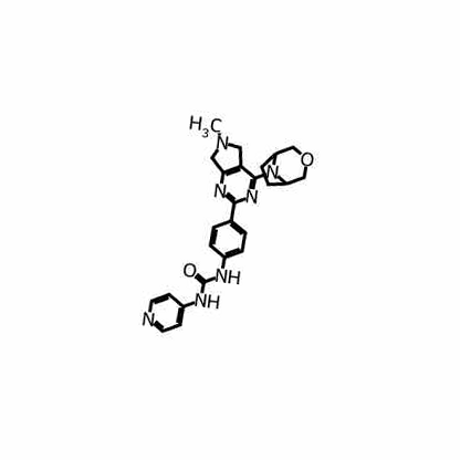 CN1Cc2nc(-c3ccc(NC(=O)Nc4ccncc4)cc3)nc(N3C4CCC3COC4)c2C1